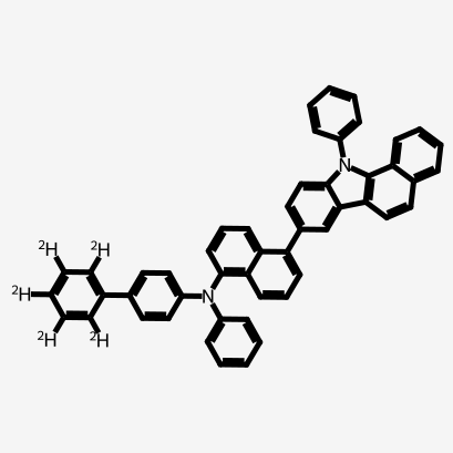 [2H]c1c([2H])c([2H])c(-c2ccc(N(c3ccccc3)c3cccc4c(-c5ccc6c(c5)c5ccc7ccccc7c5n6-c5ccccc5)cccc34)cc2)c([2H])c1[2H]